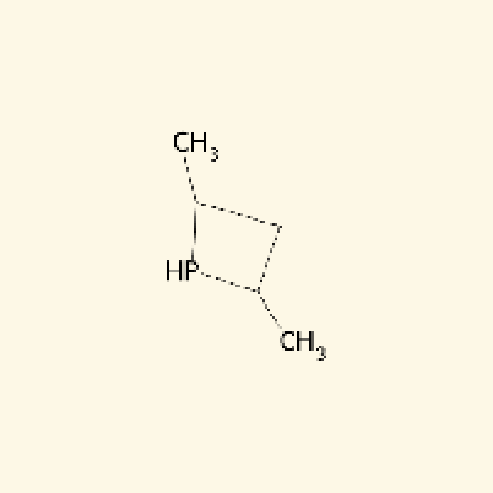 CC1CC(C)P1